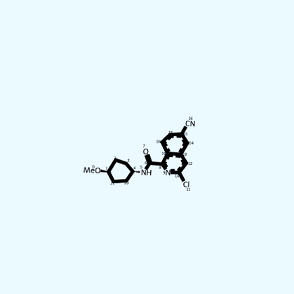 CO[C@H]1CC[C@H](NC(=O)c2nc(Cl)cc3cc(C#N)ccc23)CC1